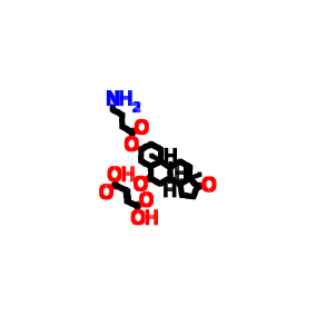 C[C@]12CC[C@H](OC(=O)CCCN)CC1C(=O)C[C@@H]1[C@@H]2CC[C@]2(C)C(=O)CC[C@@H]12.O=C(O)/C=C/C(=O)O